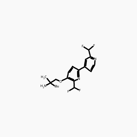 CCC(C)C(C)(N)COc1ccc(-c2ccnc(C(F)F)c2)nc1C(F)F